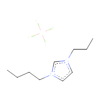 CCCCn1cc[n+](CCC)c1.F[B-](F)(F)F